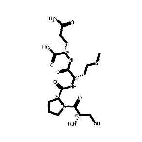 CSCC[C@H](NC(=O)[C@@H]1CCCN1C(=O)[C@@H](N)CO)C(=O)N[C@@H](CCC(N)=O)C(=O)O